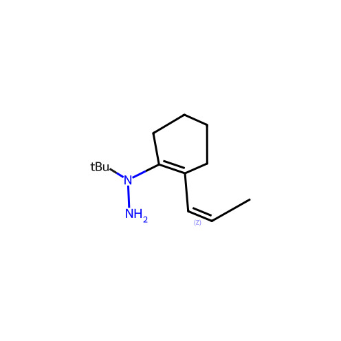 C/C=C\C1=C(N(N)C(C)(C)C)CCCC1